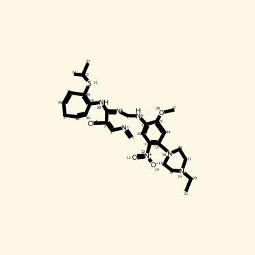 C=N/C=C(Cl)\C(=N/CNc1cc([N+](=O)[O-])c(N2CCN(CC)CC2)cc1OC)NC1=C(SC(C)C)C=CCC=C1